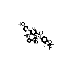 O=C(Nc1ccc(OC(F)(F)Cl)cc1)c1cnc(N2CC[C@@H](O)C2)c(NC2CCC2[N+](=O)[O-])c1